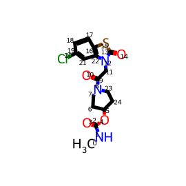 CNC(=O)OC1CCN(C(=O)Cn2c(=O)sc3ccc(Cl)cc32)CC1